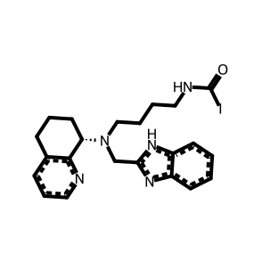 O=C(I)NCCCCN(Cc1nc2ccccc2[nH]1)[C@H]1CCCc2cccnc21